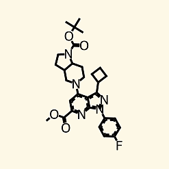 COC(=O)c1cc(N2CCC3C(CCN3C(=O)OC(C)(C)C)C2)c2c(C3CCC3)nn(-c3ccc(F)cc3)c2n1